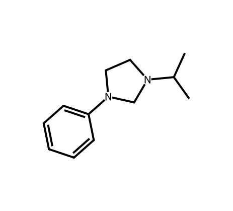 CC(C)N1CCN(c2ccccc2)C1